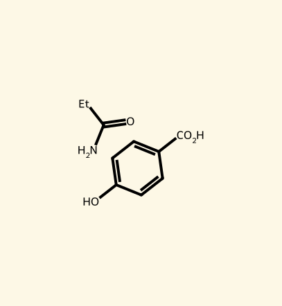 CCC(N)=O.O=C(O)c1ccc(O)cc1